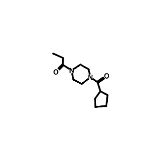 CCC(=O)N1CCN(C(=O)C2CCCC2)CC1